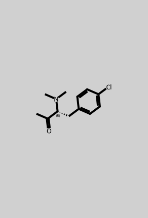 CC(=O)[C@@H](Cc1ccc(Cl)cc1)N(C)C